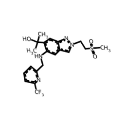 CC(C)(O)c1cc2nn(CCS(C)(=O)=O)cc2cc1NCc1cccc(C(F)(F)F)n1